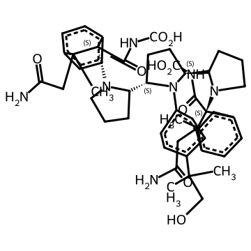 CC(C)(CO)c1ccc(N2[C@H](C3CCCN3[C@@]3(C(=O)NC(=O)O)c4ccc(cc4)C3(C)CC(N)=O)CC[C@H]2C2CCCN2[C@@]2(C(=O)NC(=O)O)c3ccc(cc3)C2(C)CC(N)=O)cc1